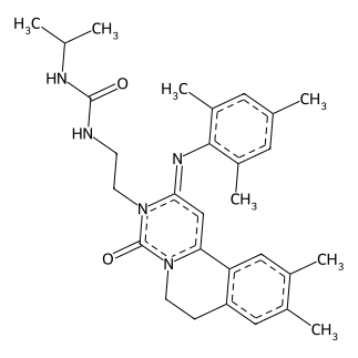 Cc1cc(C)c(/N=c2\cc3n(c(=O)n2CCNC(=O)NC(C)C)CCc2cc(C)c(C)cc2-3)c(C)c1